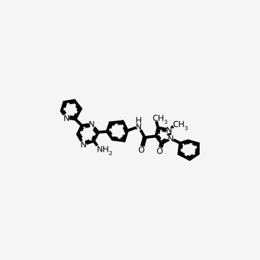 Cc1c(C(=O)Nc2ccc(-c3nc(-c4ccccn4)cnc3N)cc2)c(=O)n(-c2ccccc2)n1C